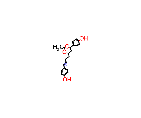 CC(=O)OC(CC/C=C/c1ccc(O)cc1)CCc1ccc(O)cc1